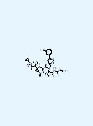 C=C[C@@H]1C[C@]1(NC(=O)[C@@H]1C[C@]2(CC(c3cccc(Cl)c3)=NO2)CN1C(=O)[C@@H](NC(=O)OC(C)(C)C)C(C)(C)C)C(=O)NS(=O)(=O)C1CC1